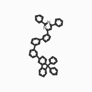 c1ccc(-c2cc(-c3cccc(-c4cccc(-c5cccc(-c6ccc7c(c6)-c6ccccc6C7(c6ccccc6)c6ccccc6)c5)c4)c3)nc(-c3ccccc3)n2)cc1